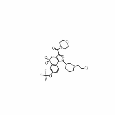 O=C(c1nn(C2CCCN(CCCl)C2)c2c1CS(=O)(=O)c1cc(OC(F)(F)F)ccc1-2)N1CCOCC1